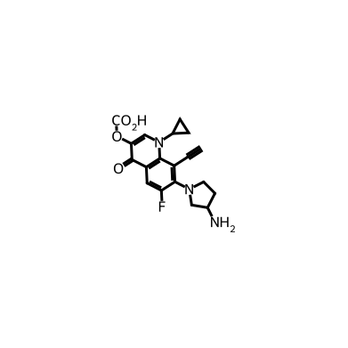 C#Cc1c(N2CCC(N)C2)c(F)cc2c(=O)c(OC(=O)O)cn(C3CC3)c12